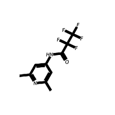 Cc1cc(NC(=O)C(F)(F)C(F)(F)F)cc(C)n1